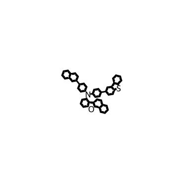 c1ccc2cc(-c3ccc(N(c4ccc(-c5ccc6sc7ccccc7c6c5)cc4)c4cccc5oc6c7ccccc7ccc6c45)cc3)ccc2c1